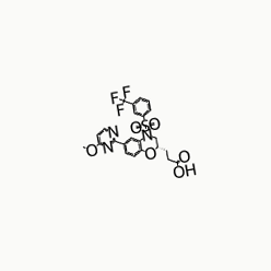 COc1ccnc(-c2ccc3c(c2)N(S(=O)(=O)c2cccc(C(F)(F)F)c2)C[C@H](CCC(=O)O)O3)n1